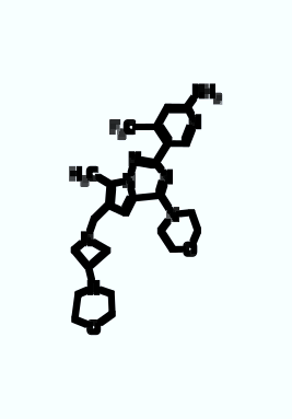 Cc1c(CN2CC(N3CCOCC3)C2)cc2c(N3CCOCC3)nc(-c3cnc(N)cc3C(F)(F)F)nn12